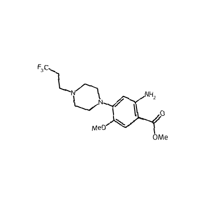 COC(=O)c1cc(OC)c(N2CCN(CCC(F)(F)F)CC2)cc1N